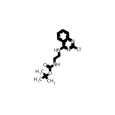 CC(C)(C)OC(=O)NCCNc1nc(Cl)nc2ccccc12